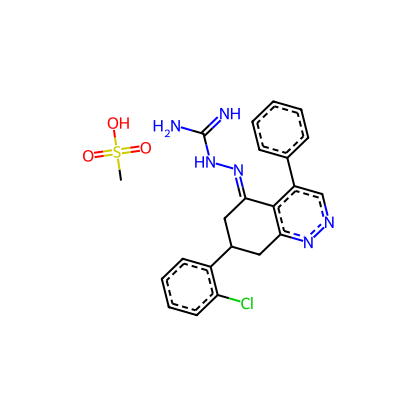 CS(=O)(=O)O.N=C(N)NN=C1CC(c2ccccc2Cl)Cc2nncc(-c3ccccc3)c21